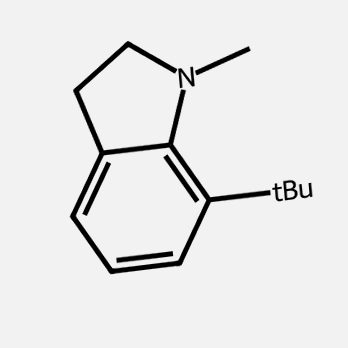 CN1CCc2cccc(C(C)(C)C)c21